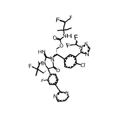 CC(C)(F)C[C@]1(c2ccc(-c3ncccn3)cc2F)NC(=N)N([C@H](COC(=O)NC(C)(C)C(F)F)c2ccc(Cl)c(-c3ncnn3C(F)F)c2)C1=O